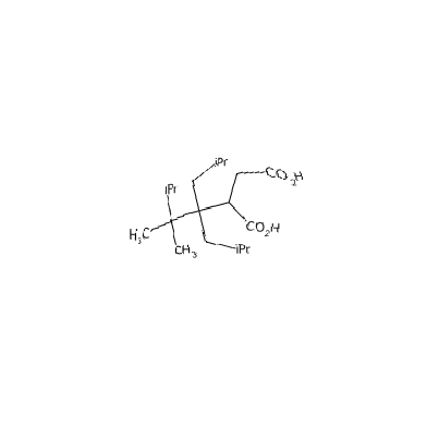 CC(C)CC(CC(C)C)(C(CC(=O)O)C(=O)O)C(C)(C)C(C)C